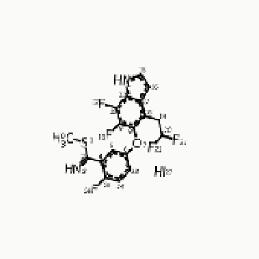 CSC(=N)c1cc(Oc2c(F)c(F)c3[nH]ccc3c2CC(F)F)ccc1F.I